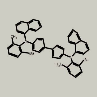 CCC(C)c1cccc(C)c1N(c1ccc(-c2ccc(N(c3c(C)cccc3C(C)CC)c3cccc4ccccc34)cc2)cc1)c1cccc2ccccc12